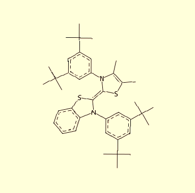 CC1=C(C)N(c2cc(C(C)(C)C)cc(C(C)(C)C)c2)/C(=C2\Sc3ccccc3N2c2cc(C(C)(C)C)cc(C(C)(C)C)c2)S1